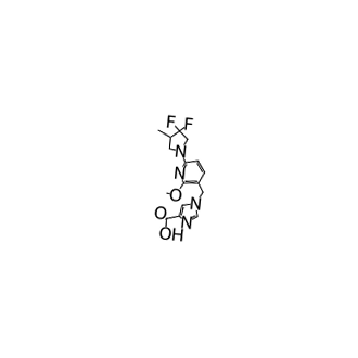 COc1nc(N2CC(C)C(F)(F)C2)ccc1Cn1cnc(C(=O)O)c1